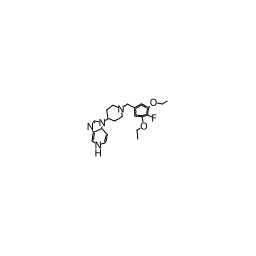 CCOc1cc(CN2CCC(N3C=NC4=CNC=CC43)CC2)cc(OCC)c1F